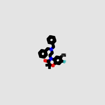 CC1(C)Oc2cc(F)c(C#N)cc2N(CCN(Cc2ccccc2)Cc2ccccc2)C1=O